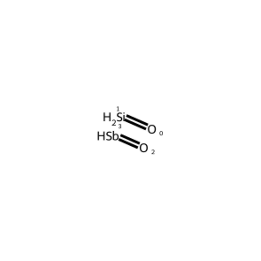 O=[SiH2].[O]=[SbH]